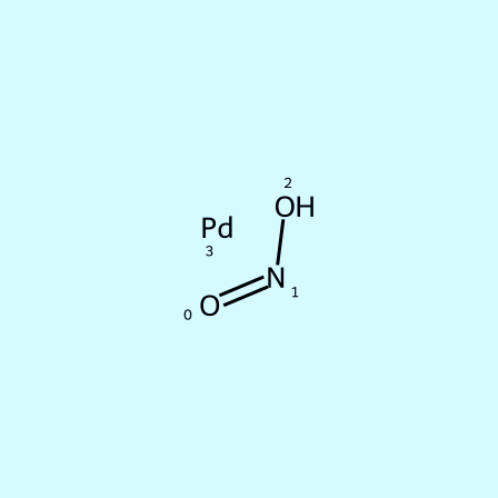 O=NO.[Pd]